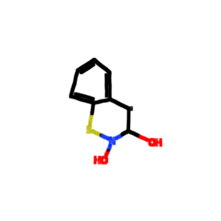 OC1[C]c2ccccc2SN1O